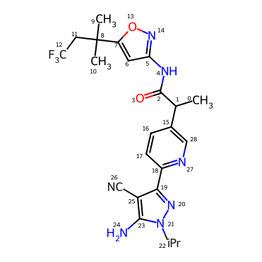 CC(C(=O)Nc1cc(C(C)(C)CC(F)(F)F)on1)c1ccc(-c2nn(C(C)C)c(N)c2C#N)nc1